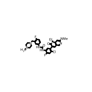 CCn1c(=O)c(-c2cc(NC(=O)Nc3ccc(F)c(CN4CCN(C)CC4)c3)c(F)cc2Cl)cc2cnc(NC)cc21